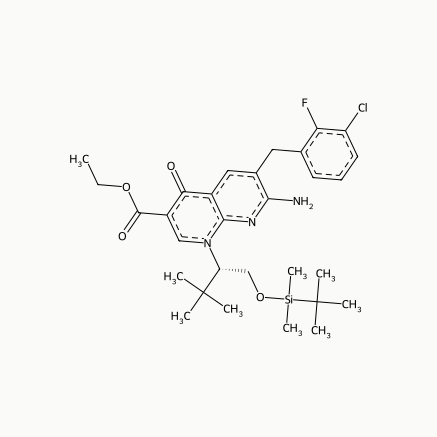 CCOC(=O)c1cn([C@H](CO[Si](C)(C)C(C)(C)C)C(C)(C)C)c2nc(N)c(Cc3cccc(Cl)c3F)cc2c1=O